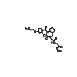 CC(=O)OCCOc1ccc(C(=O)N2CC(=O)N(CC(=O)NCC(=O)OC(C)(C)C)Cc3ccccc32)c(Cl)c1